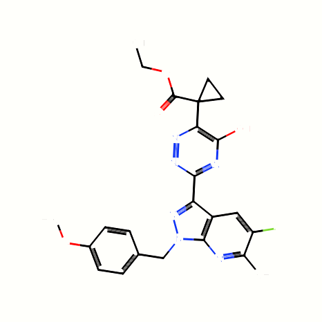 CCOC(=O)C1(c2nnc(-c3nn(Cc4ccc(OC)cc4)c4nc(C)c(F)cc34)nc2O)CC1